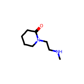 CNCCN1CCCCC1=O